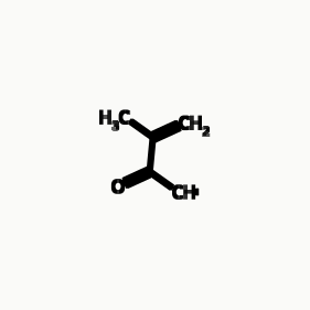 [CH]C(=O)C(=C)C